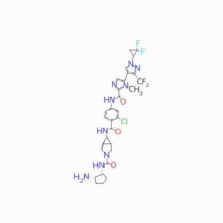 Cn1c(-c2cn(C3CC3(F)F)nc2C(F)(F)F)cnc1C(=O)Nc1ccc(C(=O)NC2C3CN(C(=O)N[C@@H]4CCC[C@@H]4N)CC32)c(Cl)c1